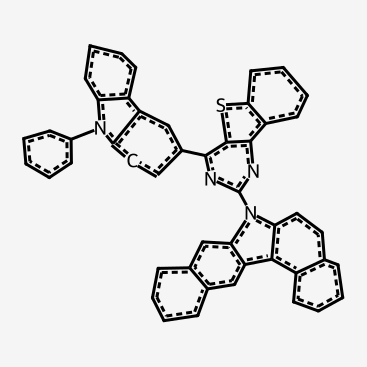 c1ccc(-n2c3ccccc3c3cc(-c4nc(-n5c6cc7ccccc7cc6c6c7ccccc7ccc65)nc5c4sc4ccccc45)ccc32)cc1